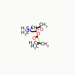 CC(=O)C[C@H](C[N+](C)(C)C)OC(=O)SC(C)(C)C